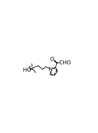 C[Si](C)(O)CCCn1cccc1C(=O)C=O